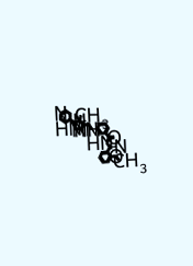 COc1ccccc1[C@H](C#N)NC(=O)c1cccc(NCC2NNC(C3CC=NCC3)N2C)c1